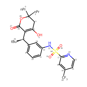 CCCC1(CCC)CC(O)=C([C@@H](c2cccc(NS(=O)(=O)c3cc(C(F)(F)F)ccn3)c2)C(C)(C)C)C(=O)O1